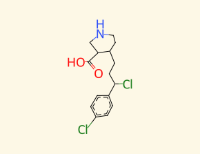 O=C(O)C1CNCCC1CCC(Cl)c1ccc(Cl)cc1